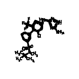 CN(C(C)(C)C)S(=O)(=O)c1cccc(-c2c(Cl)cc(Nc3n[nH]c(N)n3)cc2C(F)(F)F)c1